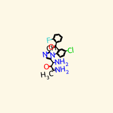 Cc1ncc(C(N)C(=O)[C@H](C)N)n1-c1ccc(Cl)cc1C(=O)c1ccccc1F